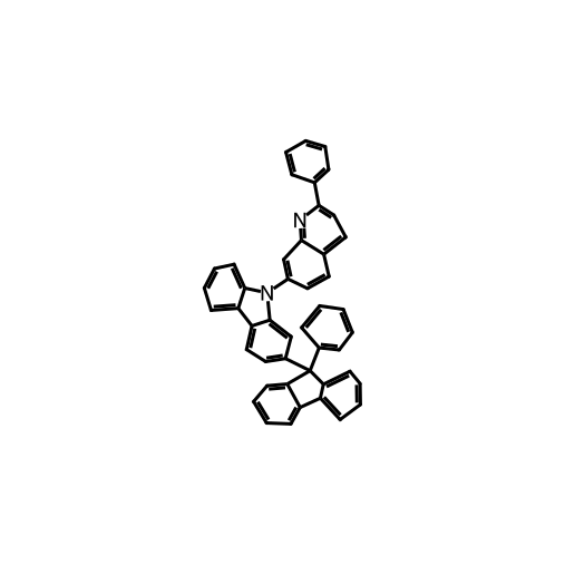 c1ccc(-c2ccc3ccc(-n4c5ccccc5c5ccc(C6(c7ccccc7)c7ccccc7-c7ccccc76)cc54)cc3n2)cc1